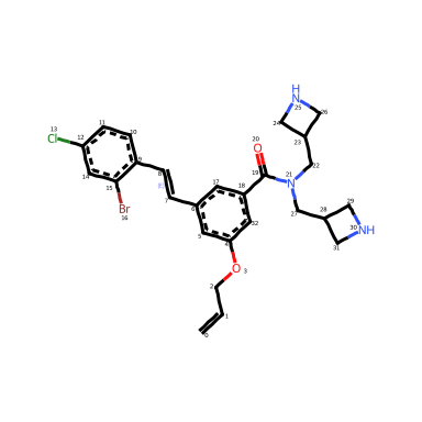 C=CCOc1cc(/C=C/c2ccc(Cl)cc2Br)cc(C(=O)N(CC2CNC2)CC2CNC2)c1